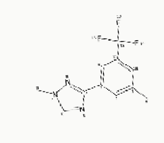 Cc1cc(-c2ncn(C)n2)cc(C(F)(F)F)c1